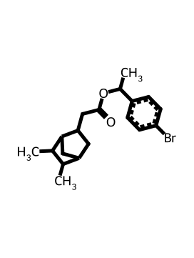 CC(OC(=O)CC1CC2CC1C(C)C2C)c1ccc(Br)cc1